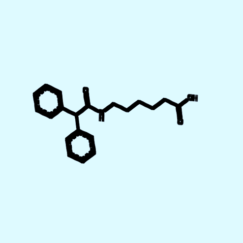 O=C(O)CCCCCNC(=O)C(c1ccccc1)c1ccccc1